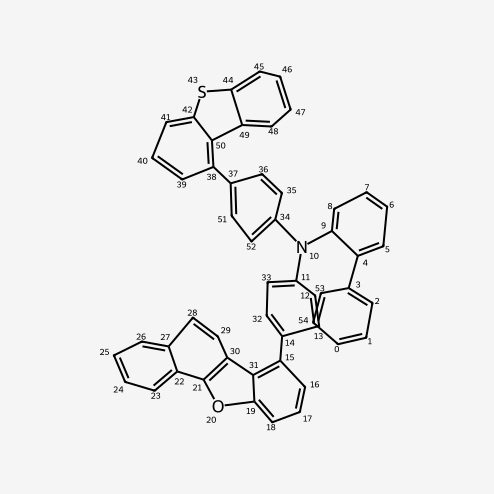 c1ccc(-c2ccccc2N(c2ccc(-c3cccc4oc5c6ccccc6ccc5c34)cc2)c2ccc(-c3cccc4sc5ccccc5c34)cc2)cc1